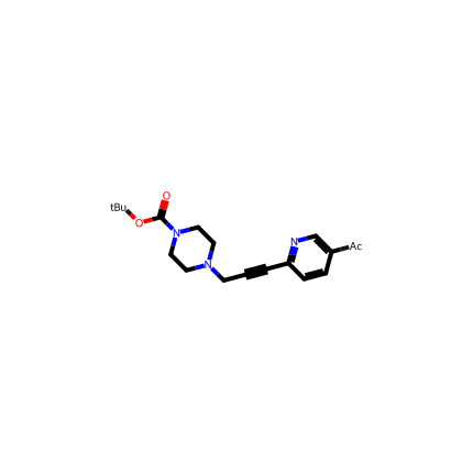 CC(=O)c1ccc(C#CCN2CCN(C(=O)OC(C)(C)C)CC2)nc1